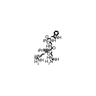 CC(C)N[C@@H](CCCNC(=N)N)C(=O)N[C@@H](CCCNC(=N)N)C(=O)NCC(=O)N[C@@H](Cc1c[nH]c2ccccc12)C(=O)C(C)C